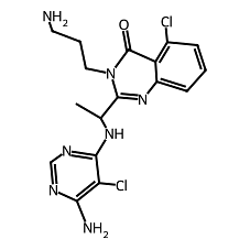 CC(Nc1ncnc(N)c1Cl)c1nc2cccc(Cl)c2c(=O)n1CCCN